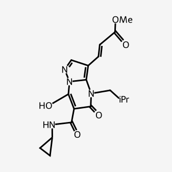 COC(=O)/C=C/c1cnn2c(O)c(C(=O)NC3CC3)c(=O)n(CC(C)C)c12